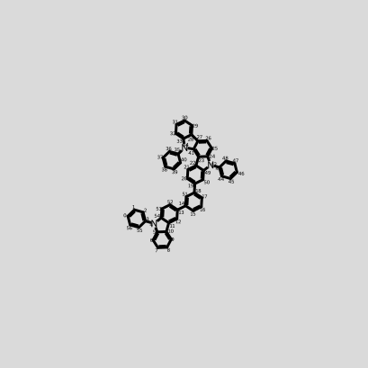 c1ccc(-n2c3ccccc3c3cc(-c4cccc(-c5ccc6c7c(ccc8c9ccccc9n(-c9ccccc9)c87)n(-c7ccccc7)c6c5)c4)ccc32)cc1